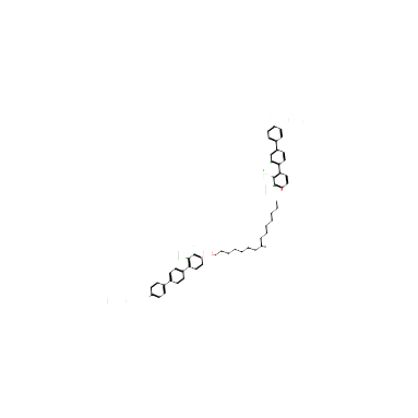 CCCCCc1ccc(-c2ccc(-c3ccc(OCCCCCCCC(CC)CCCCCCCOc4ccc(-c5ccc(-c6ccc(CCCCC)cc6)cc5F)c(F)c4F)c(F)c3F)c(F)c2)cc1